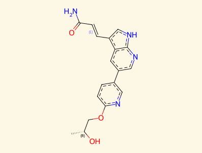 C[C@@H](O)COc1ccc(-c2cnc3[nH]cc(/C=C/C(N)=O)c3c2)cn1